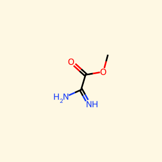 COC(=O)C(=N)N